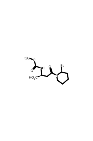 CC[C@H]1CCCCN1C(=O)C[C@H](NC(=O)OC(C)(C)C)C(=O)O